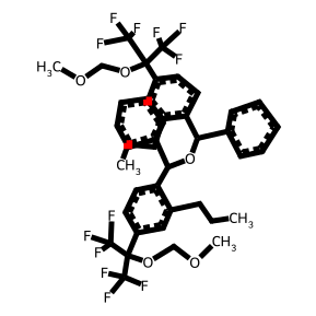 CCCc1cc(C(OCOC)(C(F)(F)F)C(F)(F)F)ccc1C(OC(c1ccccc1)c1ccc(C(OCOC)(C(F)(F)F)C(F)(F)F)cc1CCC)c1ccccc1